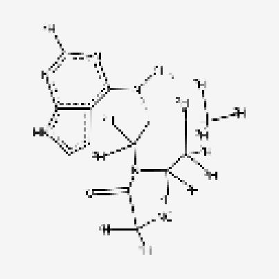 [2H]c1nc(N(C)[C@H]2C([2H])([2H])N(C(=O)C([2H])([2H])[N+]#[C-])C([2H])([2H])C([2H])([2H])[C@@]2([2H])C([2H])([2H])[2H])c2cc[nH]c2n1